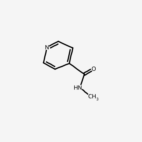 CNC(=O)c1ccncc1